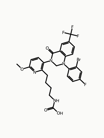 COc1ccc(N2CN(c3ccc(F)cc3Br)c3ccc(C(F)(F)F)cc3C2=O)c(CCCCNC(=O)O)n1